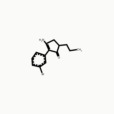 CCCC1CC(N)=C(c2cccc(Br)c2)C1=O